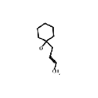 CC=CCC1([O])CCCCC1